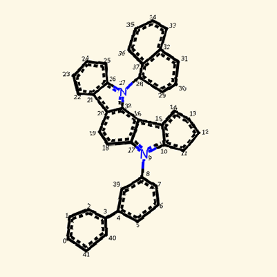 c1ccc(-c2cccc(-n3c4ccccc4c4c3ccc3c5ccccc5n(-c5cccc6ccccc56)c34)c2)cc1